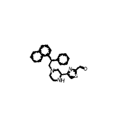 O=Cc1nc(C2CN(CC(c3ccccc3)c3cccc4ccccc34)CCN2)cs1